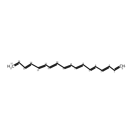 [CH]=CC=CC=CC=CC=CC=CC=CC=CC=C